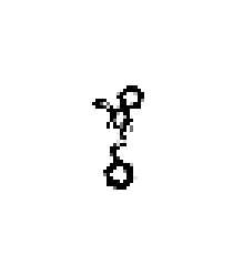 O=C(O)C1(CNOCc2ccccc2)CCCC1